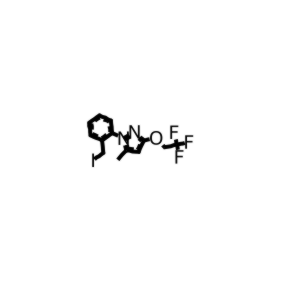 Cc1cc(OCC(F)(F)F)nn1-c1ccccc1CI